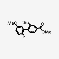 COC(=O)c1ccc(-c2cc(OC)ccc2F)c(C(C)(C)C)c1